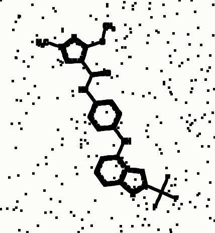 COc1nn(C)cc1C(=O)Nc1ccc(Nc2cccc3nc(C(F)(F)F)cn23)cc1